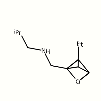 CCC1C2CC1(CNCC(C)C)O2